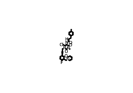 Cc1ccc(CCC(=O)Nc2c(Cl)n(CC#Cc3ccc(F)c(Cn4ccccc4=O)c3)c(=O)n(C)c2=O)cc1